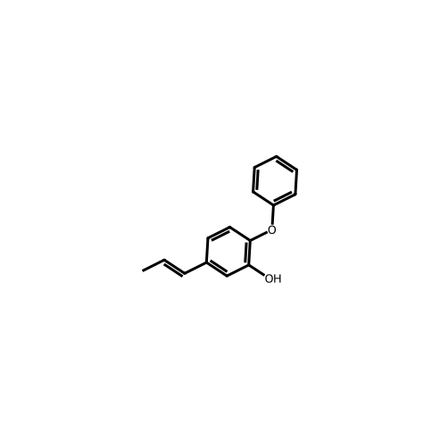 CC=Cc1ccc(Oc2ccccc2)c(O)c1